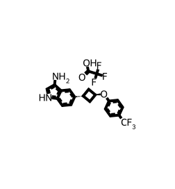 Nc1c[nH]c2ccc([C@H]3C[C@H](Oc4ccc(C(F)(F)F)cc4)C3)cc12.O=C(O)C(F)(F)F